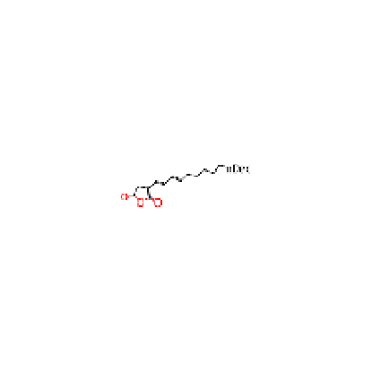 CCCCCCCCCCCCCCC/C=C/C=C/C1CC(=O)OC1=O